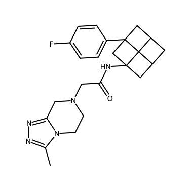 Cc1nnc2n1CCN(CC(=O)NC13CC4CC5CC(c6ccc(F)cc6)(C1)C453)C2